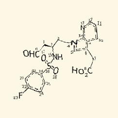 O=CC[C@@H](Cn1cc(CC(=O)O)c2cccnc21)NS(=O)(=O)c1ccc(F)cc1